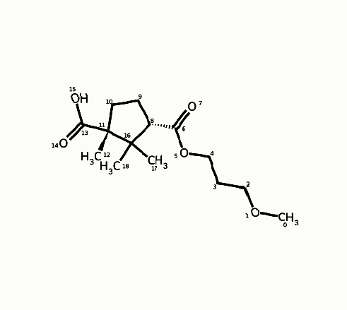 COCCCOC(=O)[C@H]1CC[C@@](C)(C(=O)O)C1(C)C